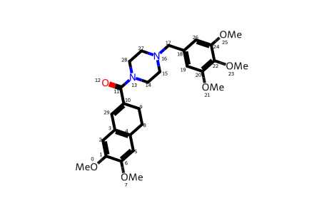 COc1cc2c(cc1OC)CCC(C(=O)N1CCN(Cc3cc(OC)c(OC)c(OC)c3)CC1)=C2